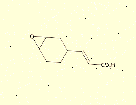 O=C(O)C=CC1CCC2OC2C1